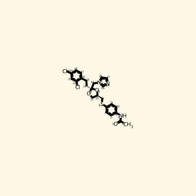 CC(=O)Nc1ccc(SC[C@H]2CO[C@@](CCc3ccc(Cl)cc3Cl)(Cn3ccnc3)O2)cc1